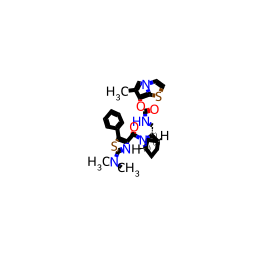 Cc1cn2ccsc2c1OC(=O)NC[C@@H]1[C@H]2CC[C@H](C2)N1C(=O)c1nc(N(C)C)sc1-c1ccccc1